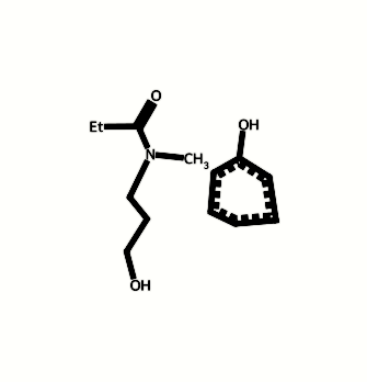 CCC(=O)N(C)CCCO.Oc1ccccc1